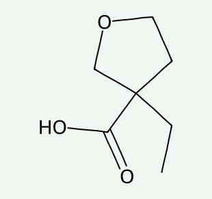 CCC1(C(=O)O)CCOC1